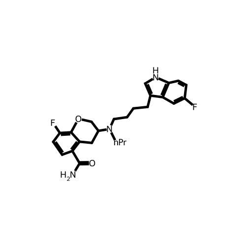 CCCN(CCCCc1c[nH]c2ccc(F)cc12)C1COc2c(F)ccc(C(N)=O)c2C1